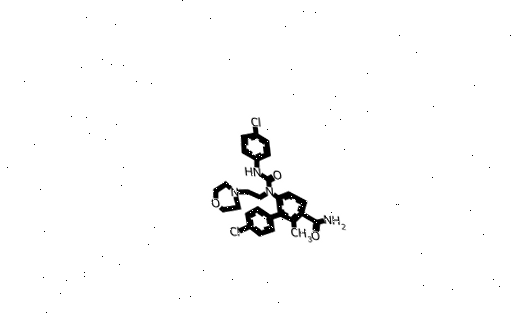 Cc1c(C(N)=O)ccc(N(CCN2CCOCC2)C(=O)Nc2ccc(Cl)cc2)c1-c1ccc(Cl)cc1